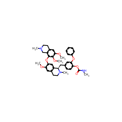 CNC(=O)Oc1ccc(C[C@@H]2c3cc(Oc4c5c(cc(OC)c4OC)CCN(C)C5)c(OC)cc3CCN2C)cc1Oc1ccccc1